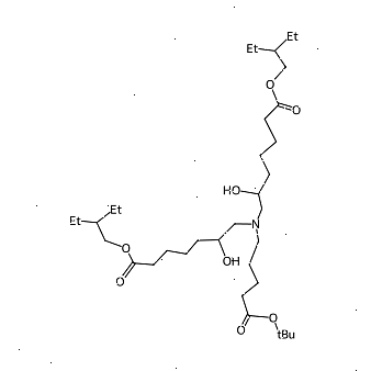 CCC(CC)COC(=O)CCCCC(O)CN(CCCCC(=O)OC(C)(C)C)CC(O)CCCCC(=O)OCC(CC)CC